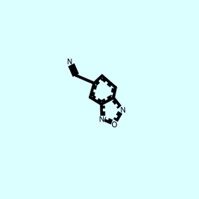 N#Cc1ccc2nonc2c1